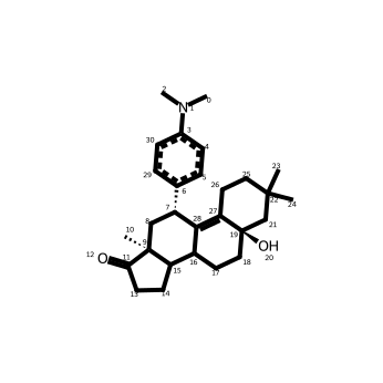 CN(C)c1ccc([C@H]2C[C@]3(C)C(=O)CCC3C3CC[C@@]4(O)CC(C)(C)CCC4=C32)cc1